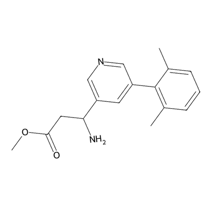 COC(=O)CC(N)c1cncc(-c2c(C)cccc2C)c1